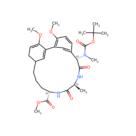 COC(=O)[C@@H]1CCCC2C=C(C(OC)=CC2)c2cc(ccc2OC)[C@H](N(C)C(=O)OC(C)(C)C)C(=O)N[C@@H](C)C(=O)N1